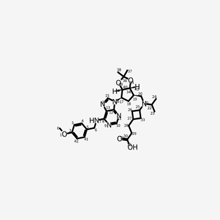 COc1ccc(CNc2ncnc3c2ncn3[C@@H]2C[C@H](CN(C(C)C)C3CC(CCC(=O)O)C3)[C@H]3OC(C)(C)O[C@H]32)cc1